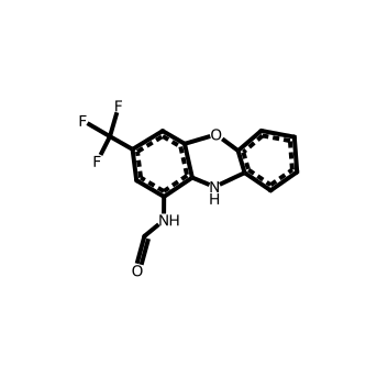 O=CNc1cc(C(F)(F)F)cc2c1Nc1ccccc1O2